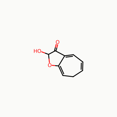 O=C1C2=CC=CCC=C2OC1O